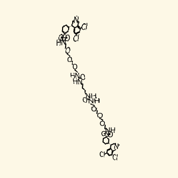 CN1Cc2c(Cl)cc(Cl)cc2[C@H](C2CCCC(S(=O)(=O)NCCOCCOCCOCCNC(=O)NCCCCNC(=O)NCCOCCOCCOCCNS(=O)(=O)C3CCCC([C@@H]4CN(C)Cc5c(Cl)cc(Cl)cc54)C3)C2)C1